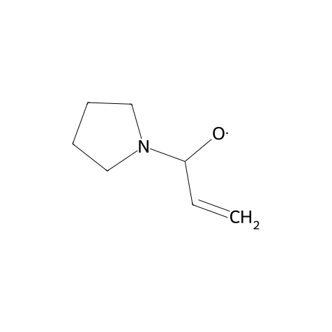 C=CC([O])N1CCCC1